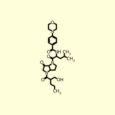 CCCC(CO)C(=O)N1CC(=O)C2C1CCN2C(=O)C(CC(C)C)NC(=O)c1ccc(N2CCOCC2)cc1